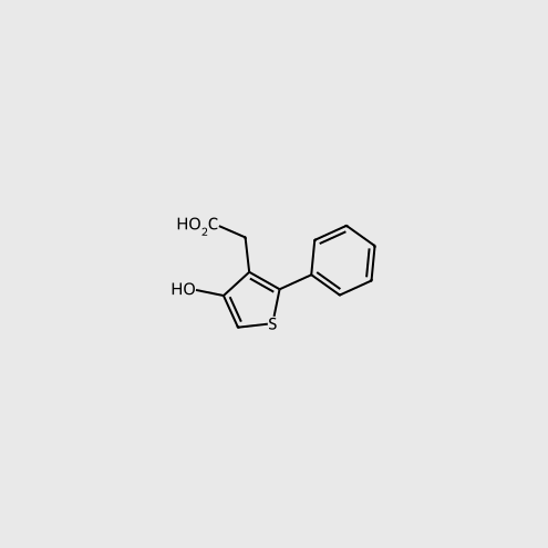 O=C(O)Cc1c(O)csc1-c1ccccc1